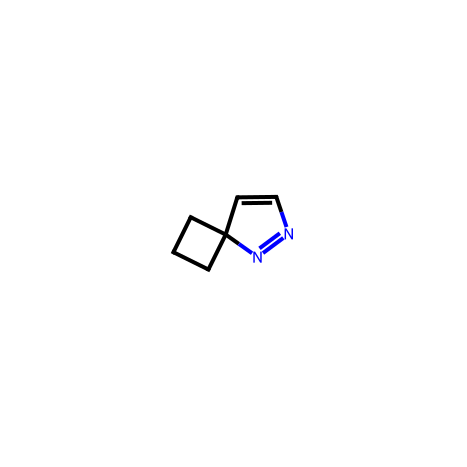 C1=CC2(CCC2)N=N1